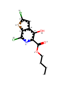 CCCCOC(=O)c1nc(Cl)c2sc(Br)cc2c1O